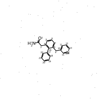 NC(=O)Cc1[c]ccc(Cc2cccnc2)c1-c1ccccc1